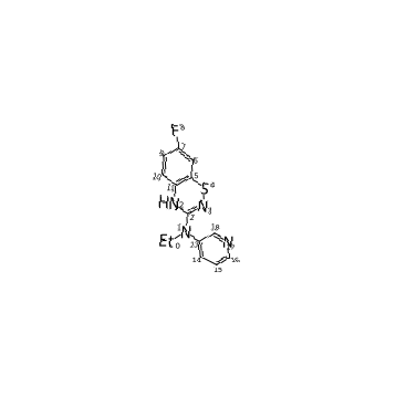 CCN(C1=NSc2cc(F)ccc2N1)c1cccnc1